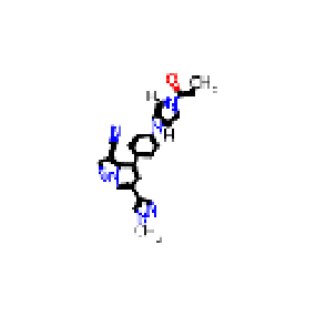 C=CC(=O)N1C[C@@H]2C[C@H]1CN2c1ccc(-c2cc(-c3cnn(C)c3)cn3ncc(C#N)c23)cc1